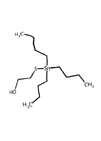 CCC[CH2][Sn]([CH2]CCC)([CH2]CCC)[S]CCO